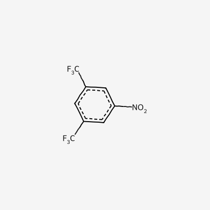 O=[N+]([O-])c1cc(C(F)(F)F)cc(C(F)(F)F)c1